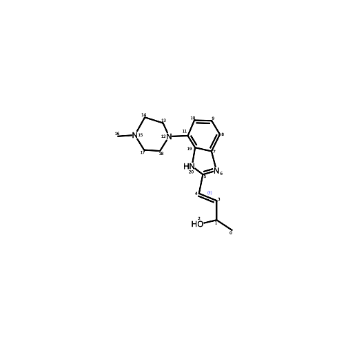 CC(O)/C=C/c1nc2cccc(N3CCN(C)CC3)c2[nH]1